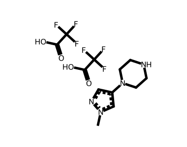 Cn1cc(N2CCNCC2)cn1.O=C(O)C(F)(F)F.O=C(O)C(F)(F)F